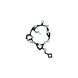 Nc1cc2ccc1-c1ccnc(n1)Nc1ccc(OCC3CCC3)c(c1)COc1ccc(cc1)NC2=O